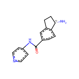 N[C@H]1CCc2cc(C(=O)Nc3ccncc3)ccc21